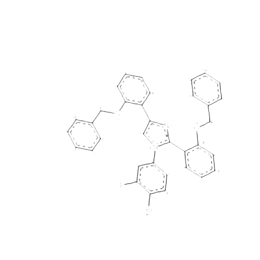 Fc1cc(-n2cc(-c3ccccc3OCc3ccccc3)nc2-c2ccccc2OCc2ccccc2)ccc1Br